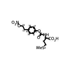 CSCCC(NC(=O)Oc1ccc(CCO[N+](=O)[O-])cc1)C(=O)O